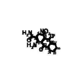 NC(=O)c1cc([N+](=O)[O-])c2c(c1N)C(=O)c1ccccc1C2=O